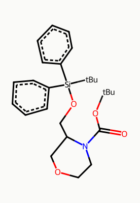 CC(C)(C)OC(=O)N1CCOCC1CO[Si](c1ccccc1)(c1ccccc1)C(C)(C)C